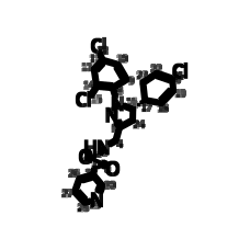 O=S(=O)(NCC1=NN(c2ccc(Cl)cc2Cl)[C@H](C2C=CC(Cl)=CC2)C1)c1cccnc1